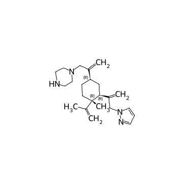 C=C(CN1CCNCC1)[C@@H]1CC[C@@](C)(C(=C)C)[C@H](C(=C)Cn2cccn2)C1